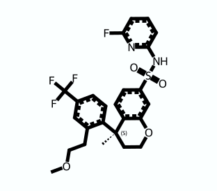 COCCc1cc(C(F)(F)F)ccc1[C@]1(C)CCOc2cc(S(=O)(=O)Nc3cccc(F)n3)ccc21